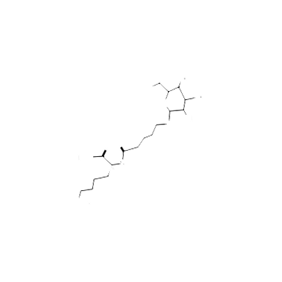 CCCCC[C@H](NC(=O)CCCCOC1OC(CO)C(O)C(O)C1C)C(C)=O